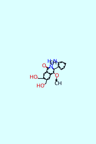 C#COc1c(-c2ccccc2N)n(C)c(=O)c2cc(CO)c(CO)cc12